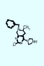 CC1Cc2c(nc(Cl)nc2N2CCNCC2)CN1Cc1ccccc1